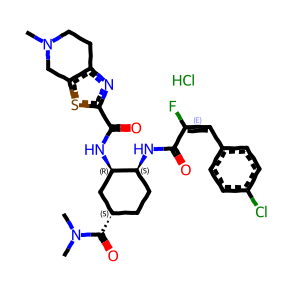 CN1CCc2nc(C(=O)N[C@@H]3C[C@@H](C(=O)N(C)C)CC[C@@H]3NC(=O)/C(F)=C\c3ccc(Cl)cc3)sc2C1.Cl